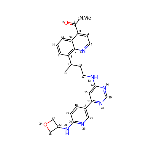 CNC(=O)c1ccnc2c(C(C)CCNc3cc(-c4ccc(NC5COC5)nc4)ncn3)cccc12